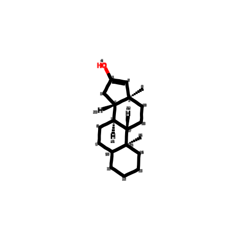 C[C@@]12C=C(O)C[C@H]1[C@@H]1CCC3CCCC[C@]3(C)[C@H]1CC2